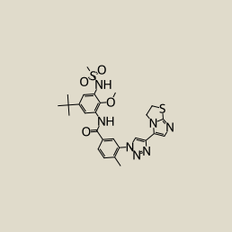 COc1c(NC(=O)c2ccc(C)c(-n3cc(-c4cnc5n4CCS5)nn3)c2)cc(C(C)(C)C)cc1NS(C)(=O)=O